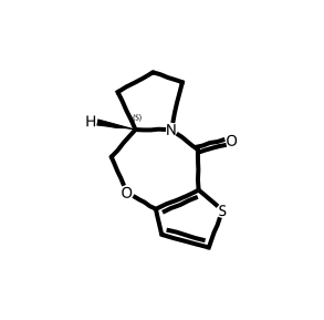 O=C1c2sccc2OC[C@@H]2CCCN12